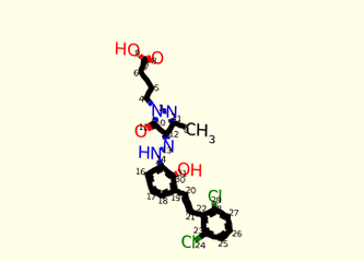 CC1=NN(CCCC(=O)O)C(=O)/C1=N\Nc1cccc(/C=C/c2c(Cl)cccc2Cl)c1O